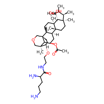 CC(=O)O[C@@H]1C[C@]23COC[C@@](C)([C@@H]2CC[C@H]2C3=CC[C@@]3(C)[C@H](C(=O)O)[C@@](C)([C@H](C)C(C)C)CC[C@]23C)[C@H]1OCCNC(=O)C(N)CCCN